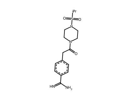 CC(C)S(=O)(=O)N1CCN(C(=O)Cc2ccc(C(=N)N)cc2)CC1